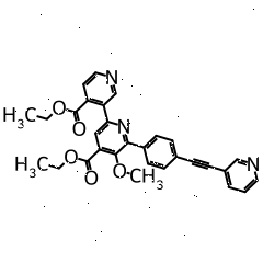 CCOC(=O)c1ccncc1-c1cc(C(=O)OCC)c(OC)c(-c2ccc(C#Cc3cccnc3)cc2)n1